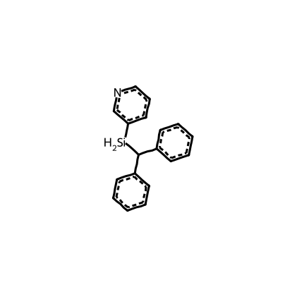 c1ccc(C([SiH2]c2cccnc2)c2ccccc2)cc1